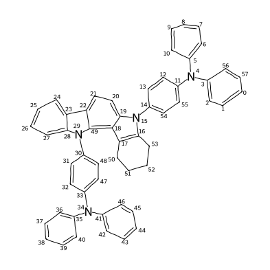 c1ccc(N(c2ccccc2)c2ccc(-n3c4c(c5c3ccc3c6ccccc6n(-c6ccc(N(c7ccccc7)c7ccccc7)cc6)c35)CCCC4)cc2)cc1